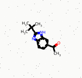 CC(=O)c1ccc2nc(C(C)(C)C)[nH]c2c1